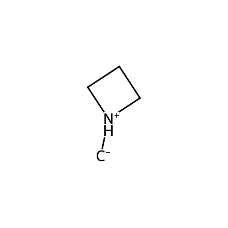 [CH2-][NH+]1CCC1